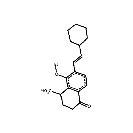 CCOc1c(/C=C/C2CCCCC2)ccc2c1C(C(=O)O)CCC2=O